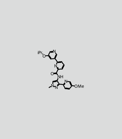 COc1ccc(-c2nn(C)cc2NC(=O)c2cccc(-c3cncc(OC(C)C)c3)n2)nc1